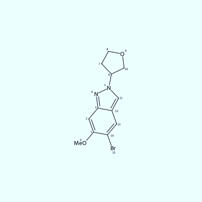 COc1cc2nn(C3CCOC3)cc2cc1Br